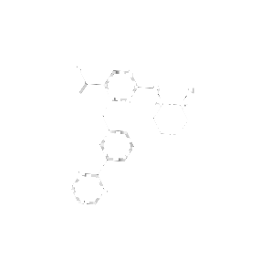 NC(=O)c1cnc(N[C@@H]2CCOC[C@@H]2N)nc1Nc1cccc(-c2ncccn2)c1